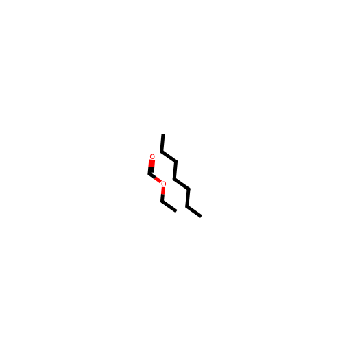 CCCCCCC.CCOC=O